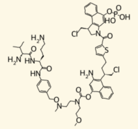 COCCN(CCN(C)OCc1ccc(NC(=O)[C@H](CCCN)NC(=O)[C@@H](N)C(C)C)cc1)C(=O)Oc1cc(N)c([C@H](CCl)CCc2ccc(C(=O)N3C[C@@H](CCl)c4c3cc(OP(=O)(O)O)c3ccccc43)s2)c2ccccc12